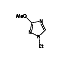 CCn1cnc(OC)n1